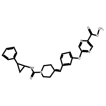 COC(=O)c1cnc(Oc2cccc(C=C3CCN(C(=O)NC4CC4c4ccccc4)CC3)c2)cn1